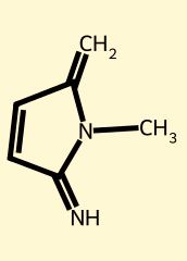 C=C1C=CC(=N)N1C